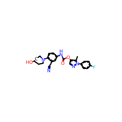 Cc1c(OC(=O)Nc2ccc(N3CCC(O)CC3)c(C#N)c2)cnn1-c1ccc(F)cc1